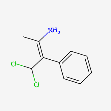 CC(N)=C(c1ccccc1)C(Cl)Cl